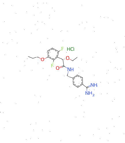 CCCOc1ccc(F)c([C@H](OCC)C(=O)NCc2ccc(C(=N)N)cc2)c1F.Cl